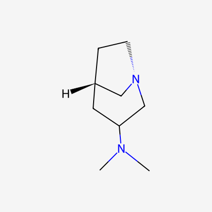 CN(C)C1C[C@@H]2CC[N@](C1)C2